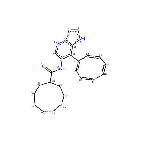 O=C(Nc1cnc2cc[nH]c2c1C1=C/C=C\C=C/C=C\1)C1CCCCCCCC1